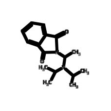 CC(C)N(C(C)C)C(C)N1C(=O)c2ccccc2C1=O